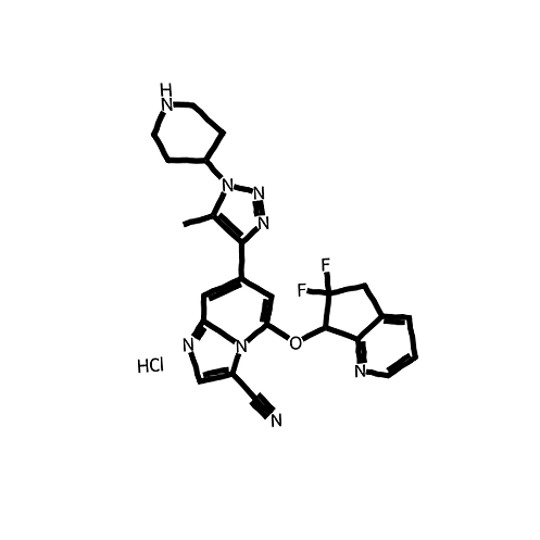 Cc1c(-c2cc(OC3c4ncccc4CC3(F)F)n3c(C#N)cnc3c2)nnn1C1CCNCC1.Cl